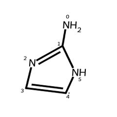 Nc1nc[c][nH]1